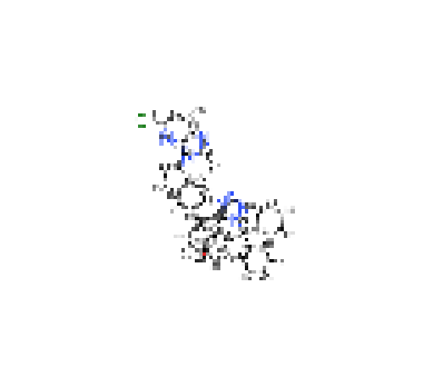 CCc1nc2c(C)cc(Cl)nc2n1C1CCc2cc(-c3ccccc3-c3nnnn3C(c3ccccc3)(c3ccccc3)c3ccccc3)ccc21